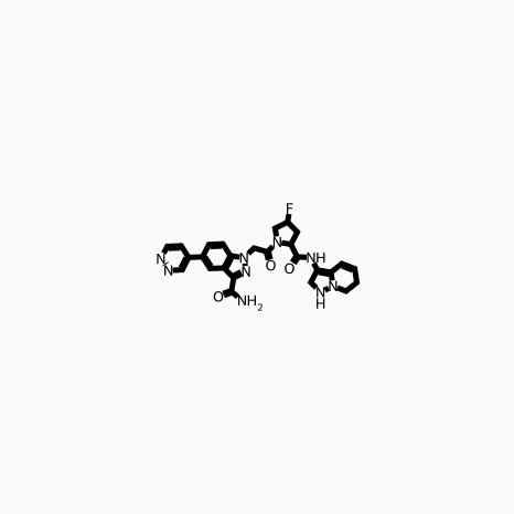 NC(=O)c1nn(CC(=O)N2CC(F)CC2C(=O)NC2=C3C=CCCN3NC2)c2ccc(-c3ccnnc3)cc12